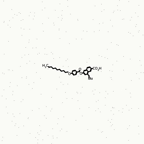 C=CCCCCCCCCCOc1ccc(C(=O)Oc2cc(CC(C)CC)c3cc(C(=O)O)ccc3c2)cc1